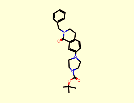 CC(C)(C)OC(=O)N1CCN(c2ccc3c(c2)C(=O)N(Cc2ccccc2)CC3)CC1